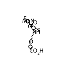 CNC(=O)c1c(-c2ccc(F)cc2)oc2cc(NCCCCCOCc3ccc(C(=O)O)cc3)c(C3CC3)cc12